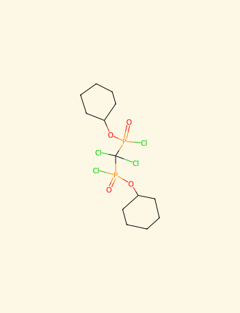 O=P(Cl)(OC1CCCCC1)C(Cl)(Cl)P(=O)(Cl)OC1CCCCC1